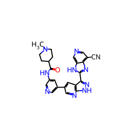 CN1CCC(C(=O)Nc2cncc(-c3cnc4[nH]nc(-c5nc6c(C#N)cncc6[nH]5)c4c3)c2)CC1